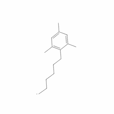 [CH2]CCCCCc1c(C)cc(C)cc1C